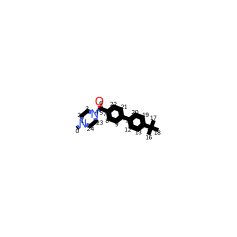 CN1CCN(C(=O)c2ccc(-c3ccc(C(C)(C)C)cc3)cc2)CC1